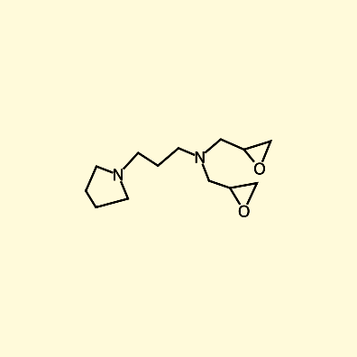 C1CCN(CCCN(CC2CO2)CC2CO2)C1